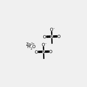 CS(=O)(=O)[O-].CS(=O)(=O)[O-].O.[Zn+2]